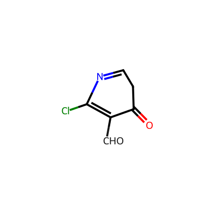 O=CC1=C(Cl)N=CCC1=O